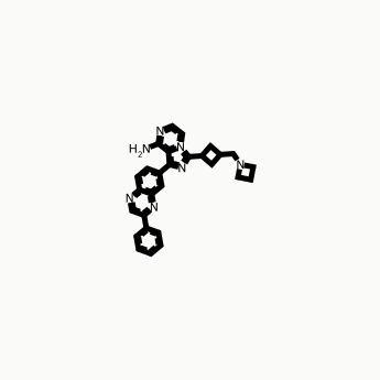 Nc1nccn2c(C3CC(CN4CCC4)C3)nc(-c3ccc4ncc(-c5ccccc5)nc4c3)c12